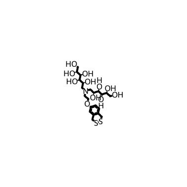 OC[C@@H](O)[C@@H](O)[C@H](O)[C@H](O)CN(CCOc1ccc2c(c1)CSSC2)C[C@@H](O)[C@@H](O)[C@H](O)[C@H](O)CO